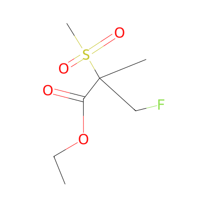 CCOC(=O)C(C)(CF)S(C)(=O)=O